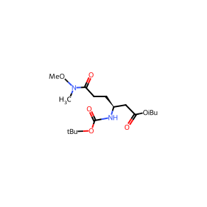 CON(C)C(=O)CC[C@@H](CC(=O)OCC(C)C)NC(=O)OC(C)(C)C